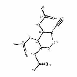 C#CC1OSC(OC(C)=O)C(OC(C)=O)C1OC(C)=O